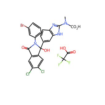 CN(C(=O)O)c1nc2ccc(C3(O)c4cc(Cl)c(Cl)cc4C(=O)N3c3cccc(Br)c3)cc2[nH]1.O=C(O)C(F)(F)F